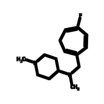 CN1CCC(N(C)CC2=CCC=C(F)C=C2)CC1